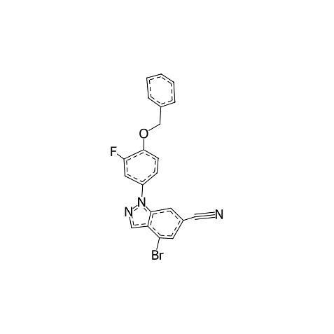 N#Cc1cc(Br)c2cnn(-c3ccc(OCc4ccccc4)c(F)c3)c2c1